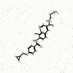 Cc1c(NC(=O)c2ccc(OCC3CC3)cc2)ccc2cc(C(C)NCCN)cnc12